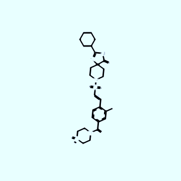 Cc1cc(C(=O)N2CCS(=O)(=O)CC2)ccc1/C=C/S(=O)(=O)N1CCC2(CC1)N=C(C1CCCCC1)NC2=O